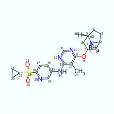 BN1C2CC[C@H]1CC(Oc1ncnc(Nc3ccc(S(=O)(=O)C4CC4)nc3)c1C)C2